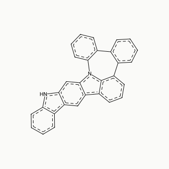 c1ccc2c(c1)-c1ccccc1-n1c3cc4[nH]c5ccccc5c4cc3c3cccc-2c31